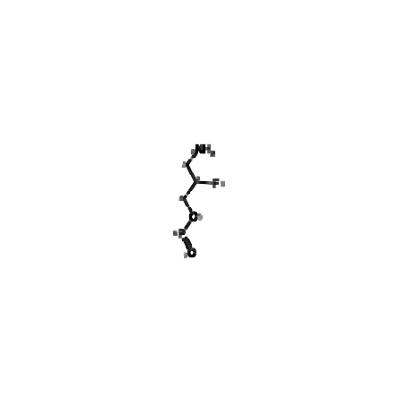 NCC(F)COP=O